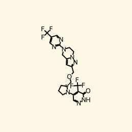 O=c1[nH]ncc(N2CCC[C@H]2COCc2cc3n(n2)CCN(c2ncc(C(F)(F)F)cn2)C3)c1C(F)(F)F